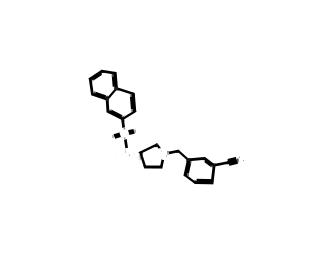 N#Cc1cccc(CN2CC[C@H](NS(=O)(=O)c3ccc4ccccc4c3)C2)c1